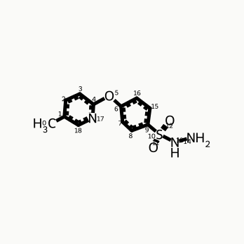 Cc1ccc(Oc2ccc(S(=O)(=O)NN)cc2)nc1